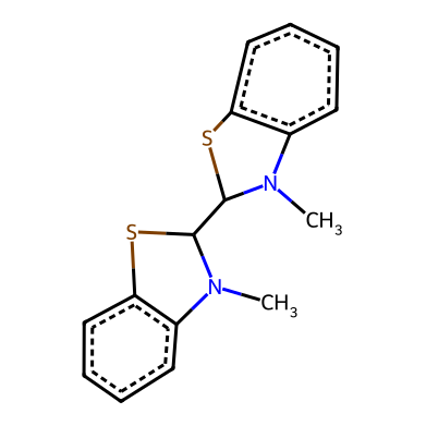 CN1c2ccccc2SC1C1Sc2ccccc2N1C